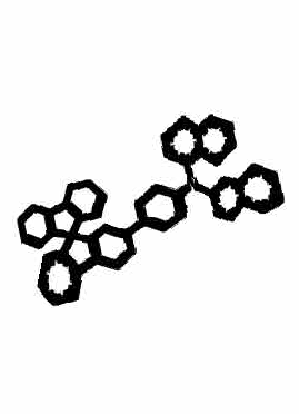 C1=CC2=C(CC1)C1=C(C=CCC1)C21C2=C(CCC(C3=CC=C(N(c4ccc5ccccc5c4)c4cccc5ccccc45)CC3)=C2)c2ccccc21